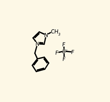 Cn1cc[n+](Cc2ccccc2)c1.F[B-](F)(F)F